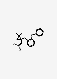 CC1(C)CC1(C=C(Cl)Cl)Cc1ccccc1Oc1ccccc1